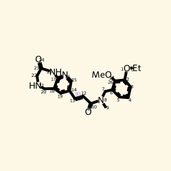 CCOc1cccc(CN(C)C(=O)/C=C/c2cnc3c(c2)CNCC(=O)N3)c1OC